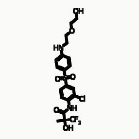 C[C@@](O)(C(=O)Nc1ccc(S(=O)(=O)c2ccc(NCCOCCO)cc2)cc1Cl)C(F)(F)F